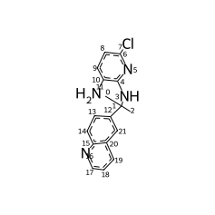 CC(C)(Nc1nc(Cl)ccc1N)c1ccc2ncccc2c1